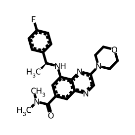 C[C@H](Nc1cc(C(=O)N(C)C)cc2ncc(N3CCOCC3)nc12)c1ccc(F)cc1